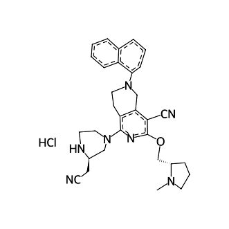 CN1CCC[C@H]1COc1nc(N2CCN[C@H](CC#N)C2)c2c(c1C#N)CN(c1cccc3ccccc13)CC2.Cl